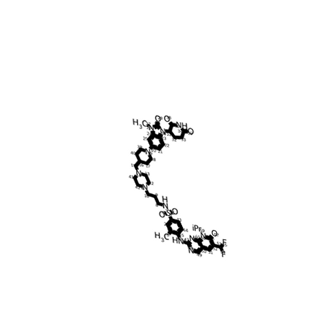 Cc1cc(S(=O)(=O)NCCCN2CCN(CC3CCN(c4ccc5c(c4)n(C)c(=O)n5C4CCC(=O)NC4=O)CC3)CC2)ccc1Nc1ncc2cc(C(F)F)c(=O)n(C(C)C)c2n1